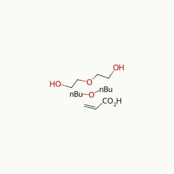 C=CC(=O)O.CCCCOCCCC.OCCOCCO